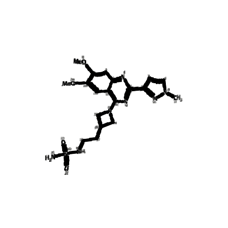 COc1cc2nc(-c3ccn(C)n3)nc(N3CC(CCNS(N)(=O)=O)C3)c2cc1OC